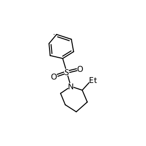 CCC1CCCCN1S(=O)(=O)c1cc[c]cc1